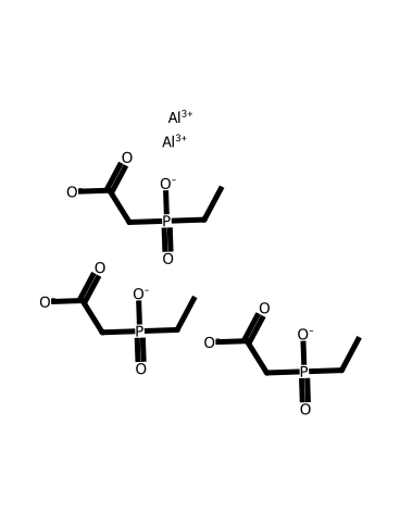 CCP(=O)([O-])CC(=O)[O-].CCP(=O)([O-])CC(=O)[O-].CCP(=O)([O-])CC(=O)[O-].[Al+3].[Al+3]